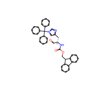 O=C[C@H](Cc1cn(C(c2ccccc2)(c2ccccc2)c2ccccc2)cn1)NC(=O)OCC1c2ccccc2-c2ccccc21